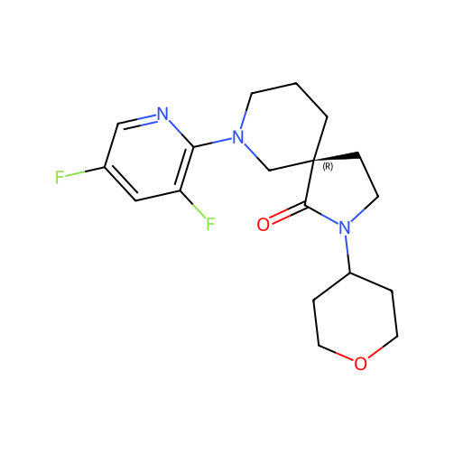 O=C1N(C2CCOCC2)CC[C@@]12CCCN(c1ncc(F)cc1F)C2